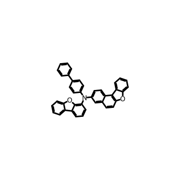 c1ccc(-c2ccc(N(c3ccc4c(ccc5oc6ccccc6c54)c3)c3cccc4c3oc3ccccc34)cc2)cc1